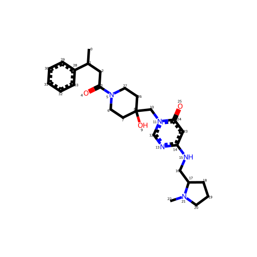 CC(CC(=O)N1CCC(O)(Cn2cnc(NCC3CCCN3C)cc2=O)CC1)c1ccccc1